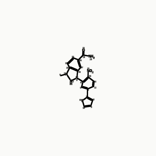 CN1NN(c2cc(-c3cccs3)ccc2[N+](=O)[O-])c2cc(C(N)=O)ccc21